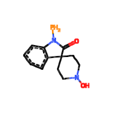 O=C1N(P)c2ccccc2C12CCN(O)CC2